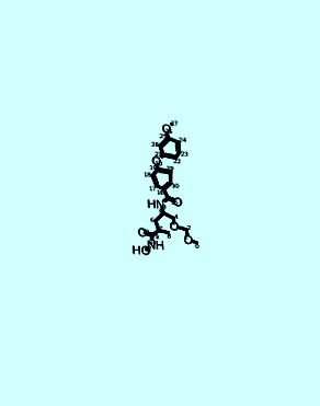 COCOCC(CC(C)C(=O)NO)NC(=O)c1ccc(Oc2cccc(OC)c2)cc1